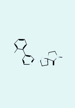 CN1CC[C@]2(CC[C@H](c3cc(-c4ccccc4F)ccn3)N2)C1=O